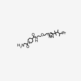 CC(C)C(C)C(C)C(C)(C)c1cn(CCOCCNC(=O)C2CCN(C(=O)CN)CC2)nn1